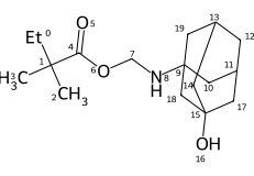 CCC(C)(C)C(=O)OCNC12CC3CC(CC(O)(C3)C1)C2